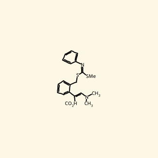 CSC(=Nc1ccccc1)SCc1ccccc1C(=CN(C)C)C(=O)O